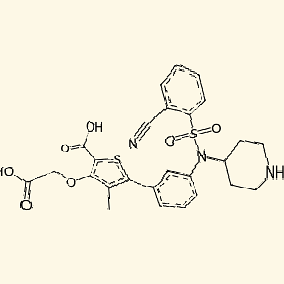 Cc1c(-c2cccc(N(C3CCNCC3)S(=O)(=O)c3ccccc3C#N)c2)sc(C(=O)O)c1OCC(=O)O